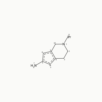 CC(C)N1CCc2sc(N)cc2C1